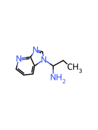 CCC(N)n1cnc2ncccc21